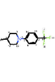 [CH2]C1CCN(c2ccc(C(F)(F)F)cc2)CC1